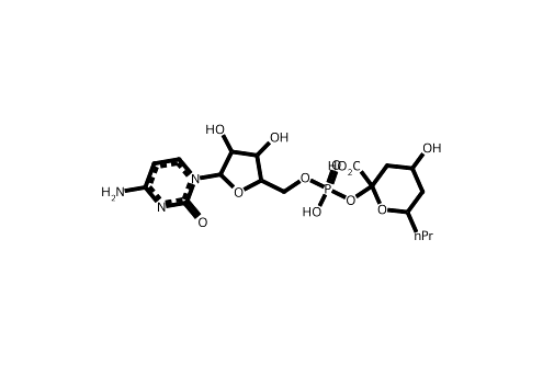 CCCC1CC(O)CC(OP(=O)(O)OCC2OC(n3ccc(N)nc3=O)C(O)C2O)(C(=O)O)O1